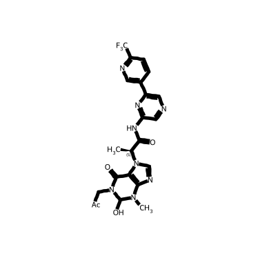 CC(=O)CN1C(=O)c2c(ncn2[C@@H](C)C(=O)Nc2cncc(-c3ccc(C(F)(F)F)nc3)n2)N(C)C1O